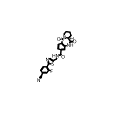 N#Cc1ccc(-c2ncc(CNC(=O)c3ccc4c(c3)NC(=O)[C@@H]3CCCCN3[S+]4[O-])s2)c(F)c1